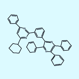 C1=CC(c2nc(-c3ccccc3)c(-c3ccccc3)nc2-c2cccc(-c3nc(-c4ccccc4)cc(C4CCCCC4)n3)c2)=CCC1